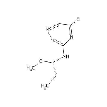 CC[C@@H](Nc1cncc(Cl)n1)OC